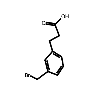 O=C(O)CCc1cccc(CBr)c1